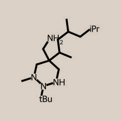 CC(C)CC(C)CC(C)C1(CN)CNN(C(C)(C)C)N(C)C1